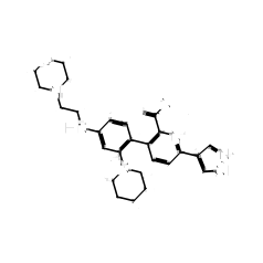 NC(=O)c1nc(-c2cn[nH]c2)ccc1-c1ccc(NCCN2CCOCC2)cc1N1CCCCC1